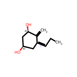 C=C1/C(=C\CC)C[C@@H](O)C[C@H]1O